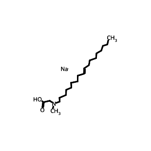 CCCCCCCCC=CCCCCCCCCN(C)CC(=O)O.[Na]